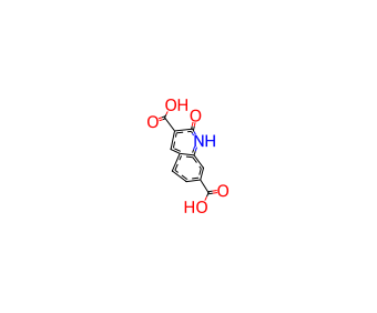 O=C(O)c1ccc2cc(C(=O)O)c(=O)[nH]c2c1